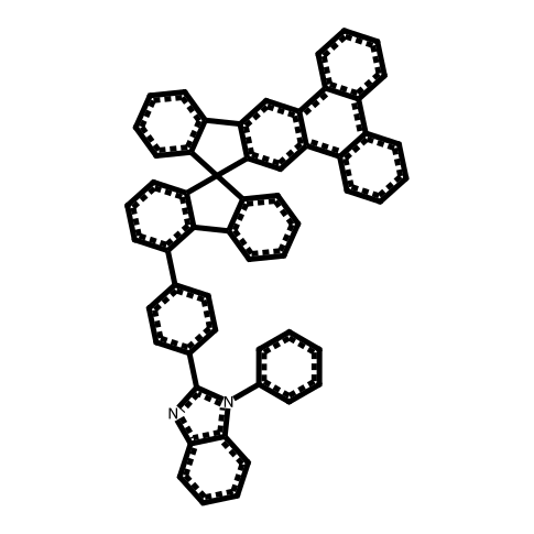 c1ccc(-n2c(-c3ccc(-c4cccc5c4-c4ccccc4C54c5ccccc5-c5cc6c7ccccc7c7ccccc7c6cc54)cc3)nc3ccccc32)cc1